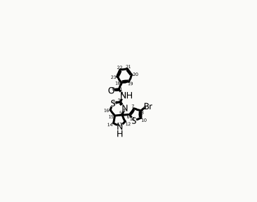 O=C(NC1=NC2(c3cc(Br)cs3)CNCC2CS1)c1ccccc1